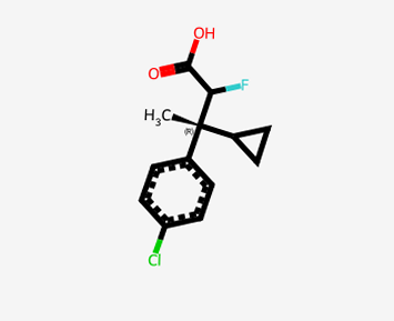 C[C@](c1ccc(Cl)cc1)(C1CC1)C(F)C(=O)O